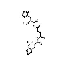 N[C@@H](Cc1cnc[nH]1)C(=O)OC(=O)/C=C/C(=O)OC(=O)[C@@H](N)Cc1cnc[nH]1